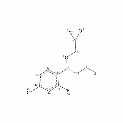 CCC[C@@H](OCC1CO1)c1ccc(Cl)cc1Br